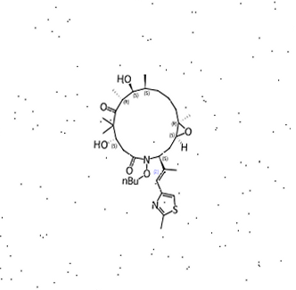 CCCCON1C(=O)C[C@H](O)C(C)(C)C(=O)[C@H](C)[C@@H](O)[C@@H](C)CCC[C@@]2(C)O[C@H]2C[C@H]1/C(C)=C/c1csc(C)n1